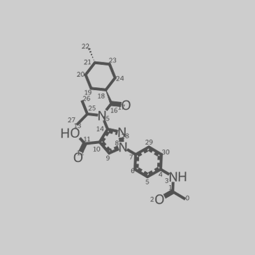 CC(=O)Nc1ccc(-n2cc(C(=O)O)c(N(C(=O)[C@H]3CC[C@H](C)CC3)C(C)C)n2)cc1